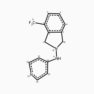 FC(F)(F)c1cccc2c1CN(Nc1ccncc1)C2